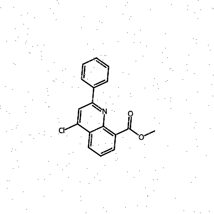 COC(=O)c1cccc2c(Cl)cc(-c3ccccc3)nc12